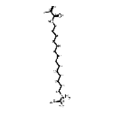 C=C(C)C(=O)OCCCCCCCCCCCCCC[SiH2]C(F)F